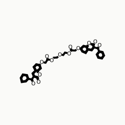 O=C(COc1ccc2cc(C(=O)c3ccccc3)c(=O)oc2c1)OCCOCCOC(=O)COc1ccc2cc(C(=O)c3ccccc3)c(=O)oc2c1